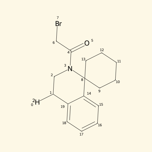 [2H]C1CN(C(=O)CBr)C2(CCCCC2)c2ccccc21